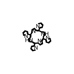 C1=C/C2=C(\c3ccccn3)C3C=CC(N3)/C(c3ccccn3)=C3/C=CC(=N3)/C(c3ccccn3)=c3/cc/c([nH]3)=C(\c3ccccn3)C1=N2